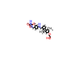 Cc1cc(OCCO)cc(C)c1-c1cccc(CNc2ccc(Cn3oc(=O)[nH]c3=O)cc2)c1C